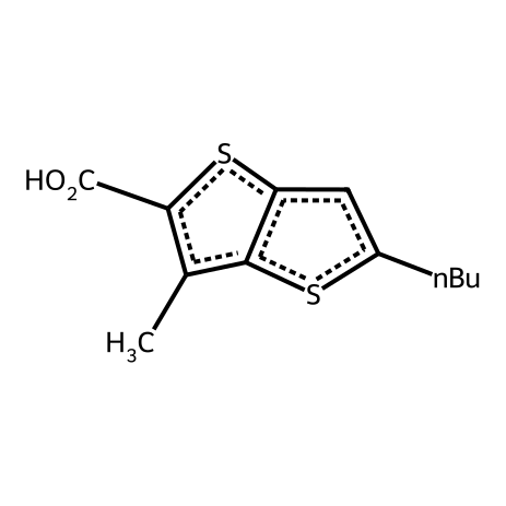 CCCCc1cc2sc(C(=O)O)c(C)c2s1